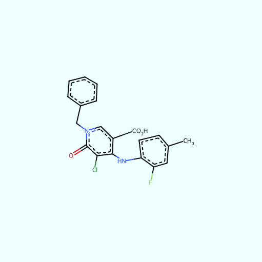 Cc1ccc(Nc2c(C(=O)O)cn(Cc3ccccc3)c(=O)c2Cl)c(F)c1